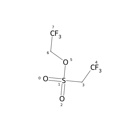 O=S(=O)(CC(F)(F)F)OCC(F)(F)F